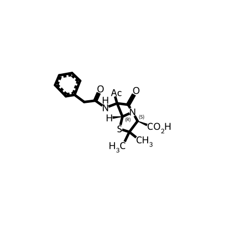 CC(=O)C1(NC(=O)Cc2ccccc2)C(=O)N2[C@@H](C(=O)O)C(C)(C)S[C@@H]21